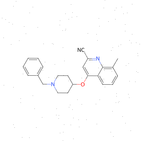 Cc1cccc2c(OC3CCN(Cc4ccccc4)CC3)cc(C#N)nc12